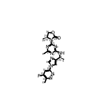 Cc1nc(N[C@@H](C)c2cn(-c3cc(F)c(C)nn3)cn2)nc(N2C(=O)OC[C@@H]2C)n1